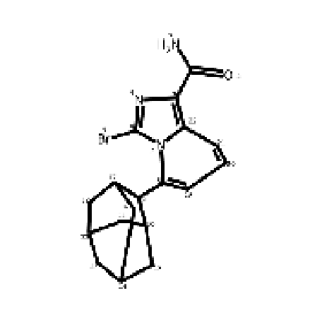 NC(=O)c1nc(Br)n2c(C3C4CC5CC(C4)CC3C5)cccc12